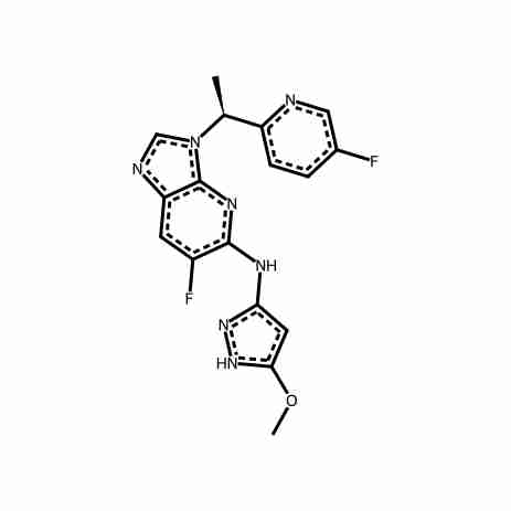 COc1cc(Nc2nc3c(cc2F)ncn3[C@@H](C)c2ccc(F)cn2)n[nH]1